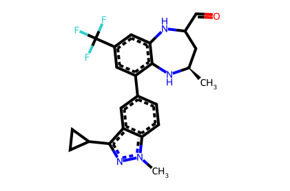 C[C@@H]1CC(C=O)Nc2cc(C(F)(F)F)cc(-c3ccc4c(c3)c(C3CC3)nn4C)c2N1